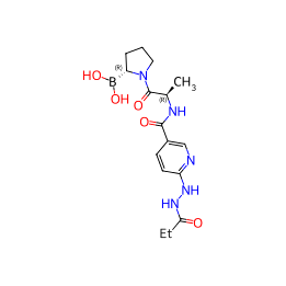 CCC(=O)NNc1ccc(C(=O)N[C@H](C)C(=O)N2CCC[C@H]2B(O)O)cn1